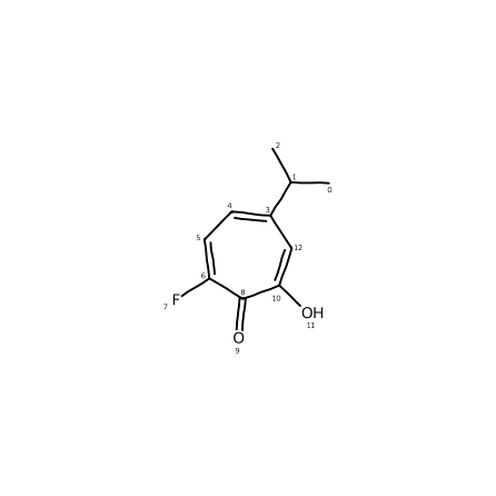 CC(C)c1ccc(F)c(=O)c(O)c1